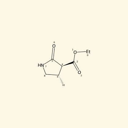 CCOC(=O)[C@@H]1C(=O)NC[C@H]1C